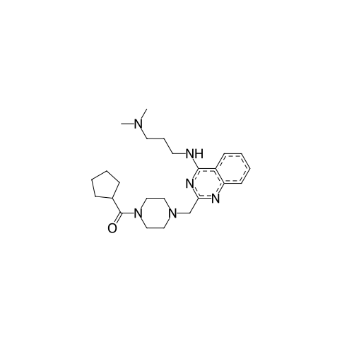 CN(C)CCCNc1nc(CN2CCN(C(=O)C3CCCC3)CC2)nc2ccccc12